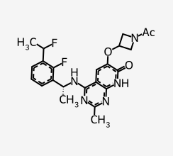 CC(=O)N1CC(Oc2cc3c(N[C@H](C)c4cccc(C(C)F)c4F)nc(C)nc3[nH]c2=O)C1